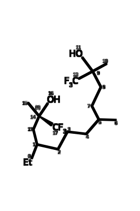 CCC(CCCC(C)CCC(C)(O)C(F)(F)F)C[C@](C)(O)C(F)(F)F